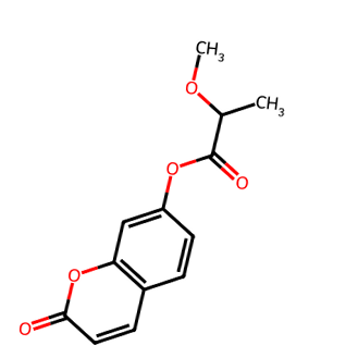 COC(C)C(=O)Oc1ccc2ccc(=O)oc2c1